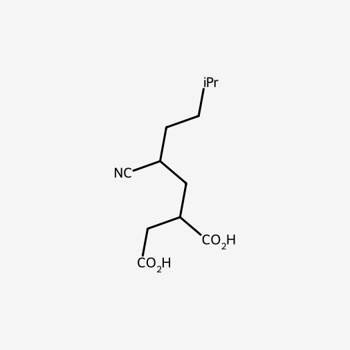 CC(C)CCC(C#N)CC(CC(=O)O)C(=O)O